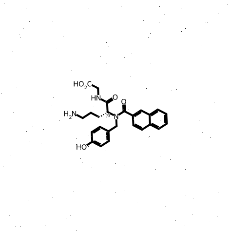 NCCC[C@H](C(=O)NCC(=O)O)N(Cc1ccc(O)cc1)C(=O)c1ccc2ccccc2c1